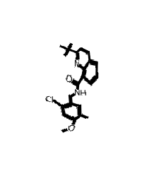 COc1cc(Cl)c(CNC(=O)c2cccc3ccc(C(C)(C)C)nc23)cc1C